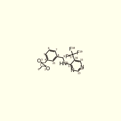 CS(=O)(=O)c1cccc(CNc2ncncc2C(F)(F)F)c1